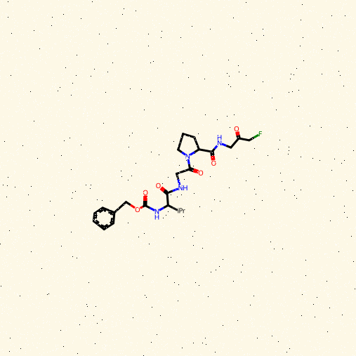 CC(C)C(NC(=O)OCc1ccccc1)C(=O)NCC(=O)N1CCCC1C(=O)NCC(=O)CF